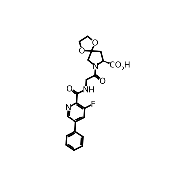 O=C(NCC(=O)N1CC2(C[C@H]1C(=O)O)OCCO2)c1ncc(-c2ccccc2)cc1F